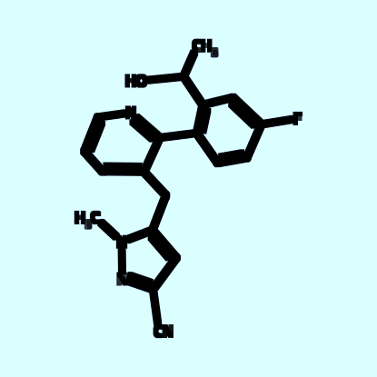 CC(O)c1cc(F)ccc1-c1ncccc1Cc1cc(C#N)nn1C